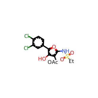 CCS(=O)(=O)Nc1oc(-c2ccc(Cl)c(Cl)c2)c(O)c1OC(C)=O